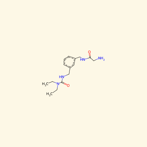 CCN(CC)C(=O)NCc1cccc(CNC(=O)CN)c1